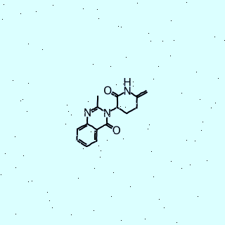 C=C1CCC(n2c(C)nc3ccccc3c2=O)C(=O)N1